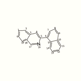 c1ccc2cc(-c3cccc4ccccc34)ncc2c1